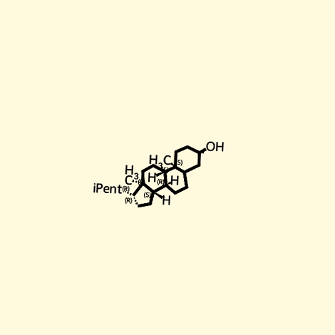 CCC[C@@H](C)[C@H]1CC[C@H]2[C@@H]3CCC4C[C](O)CC[C@]4(C)[C@H]3CC[C@]12C